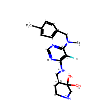 CCN(Cc1ccc(C(F)(F)F)cc1)c1ncnc(NC[C@@H]2CCNCC2(O)O)c1F